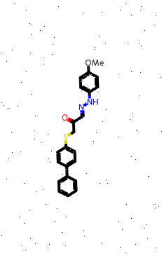 COc1ccc(NN=CC(=O)CSc2ccc(-c3ccccc3)cc2)cc1